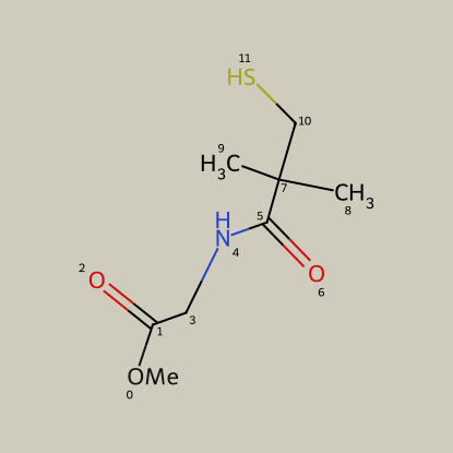 COC(=O)CNC(=O)C(C)(C)CS